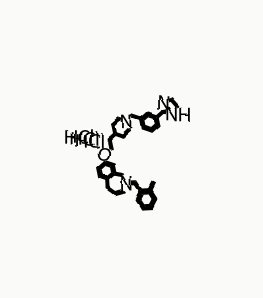 Cc1ccccc1CN1CCCc2ccc(OCCC3CCN(Cc4cccc(C5=NCCN5)c4)CC3)cc2C1.Cl.Cl.Cl